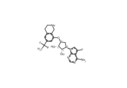 CC(F)(F)c1cc2c(c(O[C@H]3C[C@@H](n4cc(F)c5c(N)ncnc54)[C@H](O)[C@@H]3O)c1)CNCC2